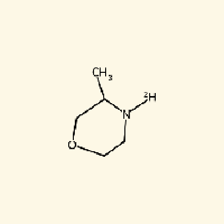 [2H]N1CCOCC1C